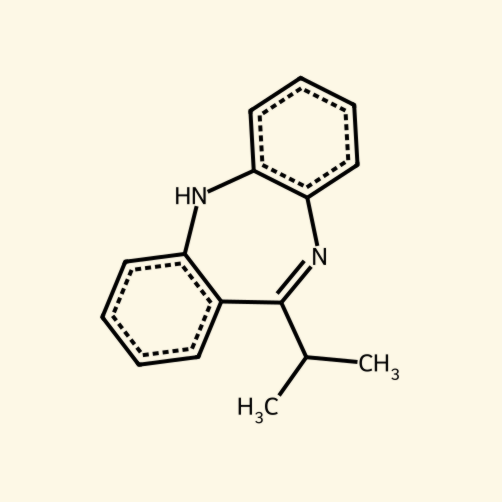 CC(C)C1=Nc2ccccc2Nc2ccccc21